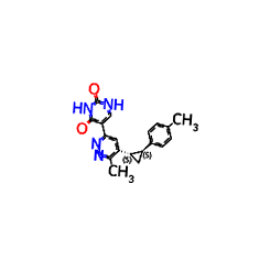 Cc1ccc([C@H]2C[C@@H]2c2cc(-c3c[nH]c(=O)[nH]c3=O)nnc2C)cc1